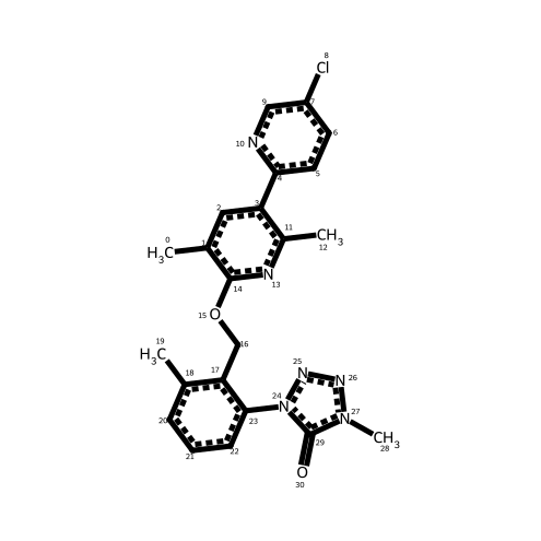 Cc1cc(-c2ccc(Cl)cn2)c(C)nc1OCc1c(C)cccc1-n1nnn(C)c1=O